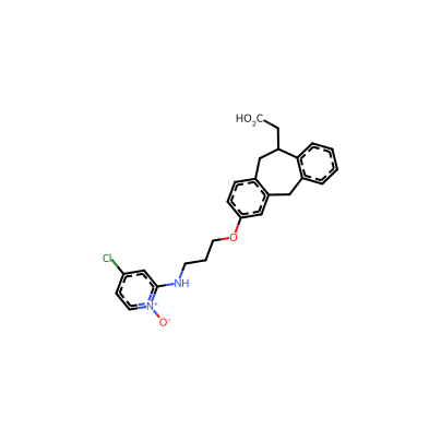 O=C(O)CC1Cc2ccc(OCCCNc3cc(Cl)cc[n+]3[O-])cc2Cc2ccccc21